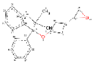 CC(C)(C)[Si](O[C@H]1C[C@@H](C2CO2)C1)(c1ccccc1)c1ccccc1